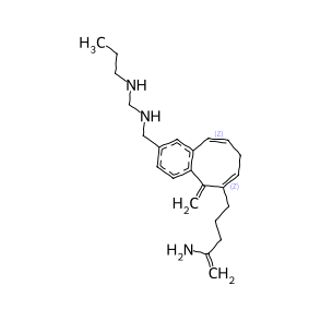 C=C(N)CCC/C1=C/C/C=C\c2cc(CNCNCCC)ccc2C1=C